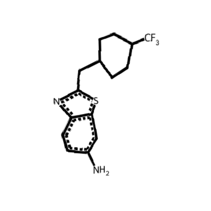 Nc1ccc2nc(CC3CCC(C(F)(F)F)CC3)sc2c1